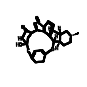 C=C[C@H]1C=C[C@H]2[C@@H]3C[C@H](C)CC[C@H]3[C@@H]3OC4=CC=C(CC4)C[C@@]4(O)CC(C(=O)N4)C(=O)[C@@H]1[C@H]23